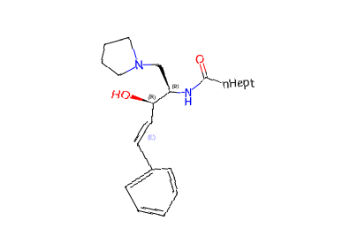 CCCCCCCC(=O)N[C@H](CN1CCCC1)[C@H](O)/C=C/c1ccccc1